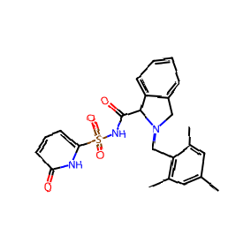 Cc1cc(C)c(CN2Cc3ccccc3C2C(=O)NS(=O)(=O)c2cccc(=O)[nH]2)c(C)c1